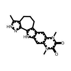 Cc1[nH]nc2c1CCCc1c-2[nH]c2cc3c(cc12)n(C)c(=O)c(=O)n3C